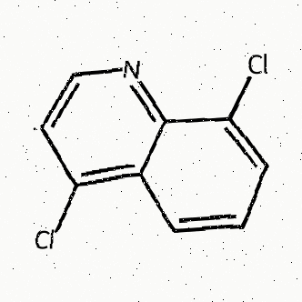 Clc1[c]cnc2c(Cl)cccc12